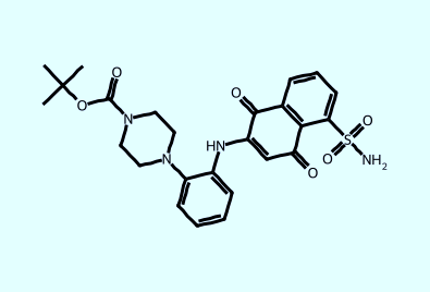 CC(C)(C)OC(=O)N1CCN(c2ccccc2NC2=CC(=O)c3c(cccc3S(N)(=O)=O)C2=O)CC1